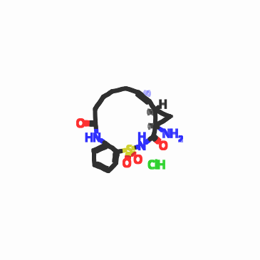 Cl.N[C@]12C[C@H]1/C=C\CCCCC(=O)Nc1ccccc1S(=O)(=O)NC2=O